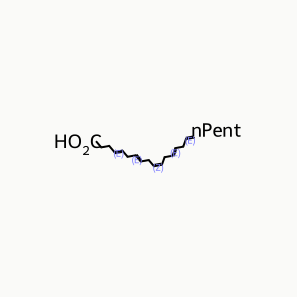 CCCCC/C=C/C/C=C/C/C=C\C/C=C/C/C=C/CCC(=O)O